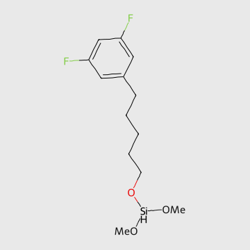 CO[SiH](OC)OCCCCCc1cc(F)cc(F)c1